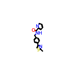 Cc1nc(-c2ccc(CNC(=O)c3ccccn3)cc2)cs1